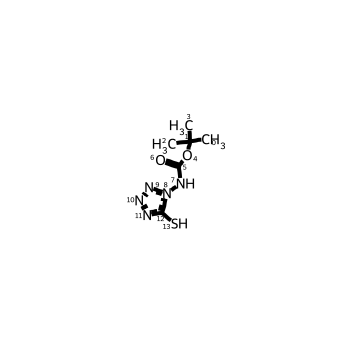 CC(C)(C)OC(=O)Nn1nnnc1S